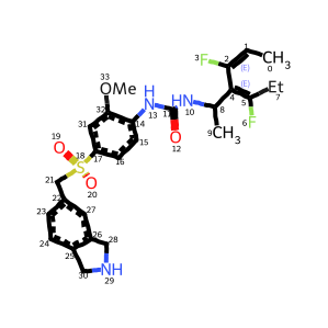 C/C=C(F)\C(=C(\F)CC)C(C)NC(=O)Nc1ccc(S(=O)(=O)Cc2ccc3c(c2)CNC3)cc1OC